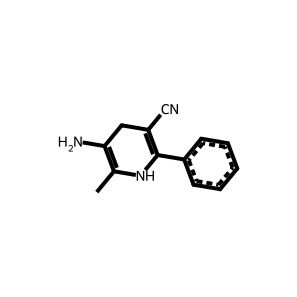 CC1=C(N)CC(C#N)=C(c2ccccc2)N1